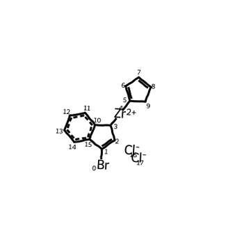 BrC1=C[CH]([Zr+2][C]2=CC=CC2)c2ccccc21.[Cl-].[Cl-]